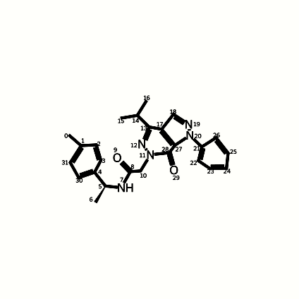 Cc1ccc([C@H](C)NC(=O)Cn2nc(C(C)C)c3cnn(-c4ccccc4)c3c2=O)cc1